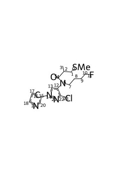 CSCC(C)C(=O)N(CCCCF)c1cn(-c2cccnc2)nc1Cl